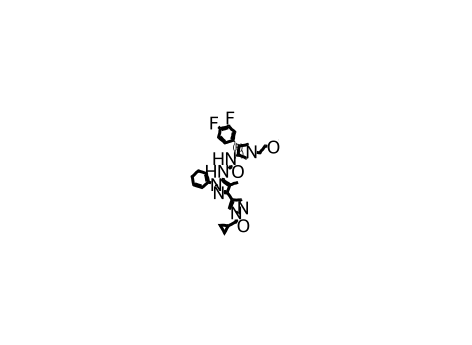 COCCN1C[C@@H](NC(=O)Nc2c(C)c(-c3cnn(C(=O)C4CC4)c3)nn2C2=CCCC=C2)[C@H](c2ccc(F)c(F)c2)C1